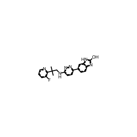 CC(C)(CNc1ccc(-c2ccc3nc(O)[nH]c3c2)nn1)c1ncccc1F